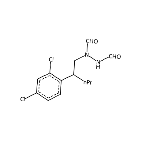 CCCC(CN(C=O)NC=O)c1ccc(Cl)cc1Cl